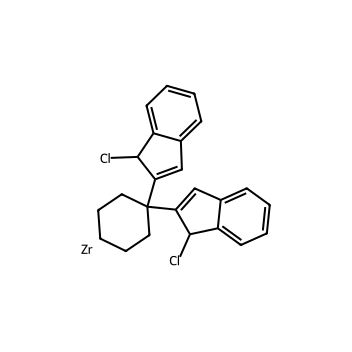 ClC1C(C2(C3=Cc4ccccc4C3Cl)CCCCC2)=Cc2ccccc21.[Zr]